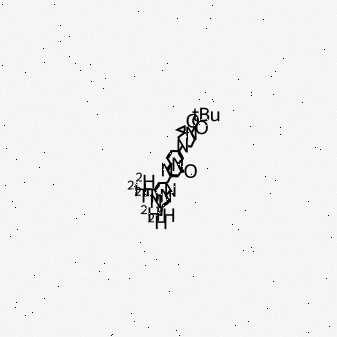 [2H]C([2H])([2H])c1cn2nc(-c3cc(=O)n4cc(N5CCN(C(=O)OC(C)(C)C)C6(CC6)C5)ccc4n3)cc(C([2H])([2H])[2H])c2n1